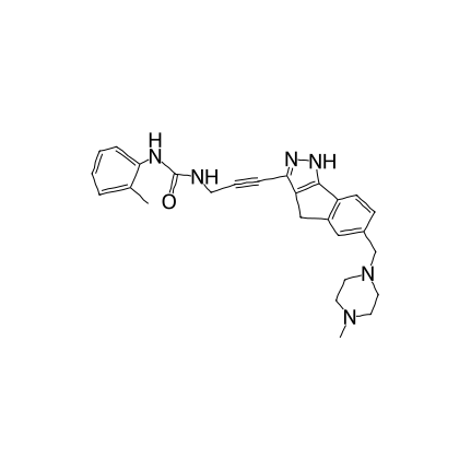 Cc1ccccc1NC(=O)NCC#Cc1n[nH]c2c1Cc1cc(CN3CCN(C)CC3)ccc1-2